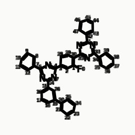 Fc1cc(-c2nc(-c3ccccc3)nc(-c3cccc(-c4ccccc4)c3)n2)ccc1-c1nc(-c2ccccc2)nc(-c2ccccc2)n1